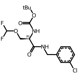 CC(C)(C)OC(=O)N[C@H](COC(F)F)C(=O)NCc1cccc(Cl)c1